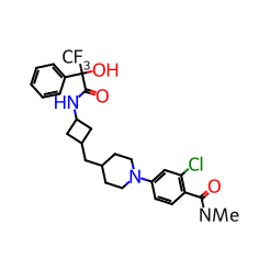 CNC(=O)c1ccc(N2CCC(CC3CC(NC(=O)C(O)(c4ccccc4)C(F)(F)F)C3)CC2)cc1Cl